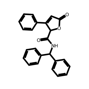 O=C1C=C(c2ccccc2)C(C(=O)NC(c2ccccc2)c2ccccc2)O1